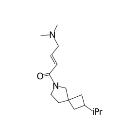 CC(C)C1CC2(CCN(C(=O)/C=C/CN(C)C)C2)C1